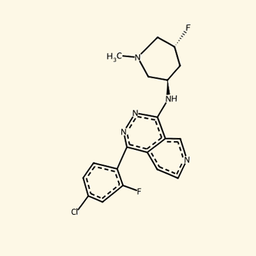 CN1C[C@H](F)C[C@@H](Nc2nnc(-c3ccc(Cl)cc3F)c3ccncc23)C1